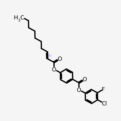 CCCCCCC/C=C/C(=O)Oc1ccc(C(=O)Oc2ccc(Cl)c(F)c2)cc1